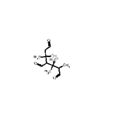 CC(C=O)C(C)(C)C(C=O)C(C)(C)CC=O